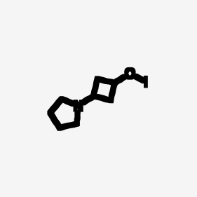 IOC1CC(N2CCCC2)C1